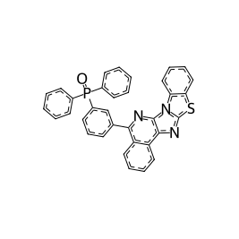 O=P(c1ccccc1)(c1ccccc1)c1cccc(-c2nc3c(nc4sc5ccccc5n43)c3ccccc23)c1